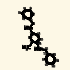 Cc1cc(NCc2ccccc2)ccc1NCc1ccccc1